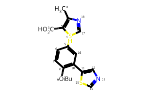 CC1=C(C(=O)O)[SH](c2ccc(OCC(C)C)c(-c3cncs3)c2)C=N1